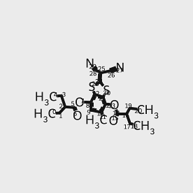 CCC(CC)C(=O)Oc1cc(C)c(OC(=O)C(CC)CC)c2c1SC(=C(C#N)C#N)S2